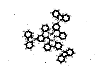 c1ccc2c(c1)-c1cc(-n3c4ccccc4c4ccccc43)ccc1B1N2B2c3ccc(-n4c5ccccc5c5ccccc54)cc3-c3ccccc3N2B2c3ccc(-n4c5ccccc5c5ccccc54)cc3-c3ccccc3N12